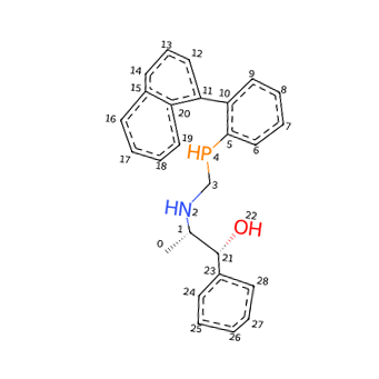 C[C@H](NCPc1ccccc1-c1cccc2ccccc12)[C@H](O)c1ccccc1